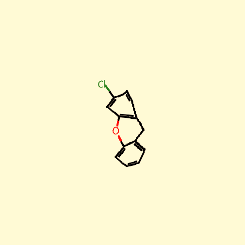 Clc1ccc2c(c1)Oc1ccccc1C2